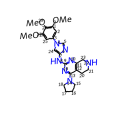 COc1cc(-n2cnc(Nc3nc4c(c(N5CCCC5)n3)CCNC4)c2)cc(OC)c1OC